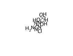 Nc1nc(Cl)nc2c1ncn2[C@@]1(O)C[C@H]2C=C[C@@]2(CO)[C@H]1O